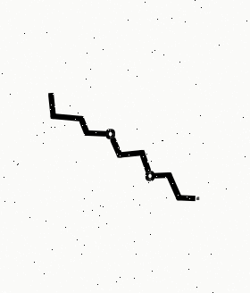 [CH2]CCOCCOCCCC